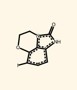 O=c1[nH]c2ccc(I)c3c2n1CCO3